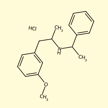 COc1cccc(CC(C)NC(C)c2ccccc2)c1.Cl